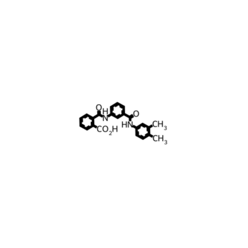 Cc1ccc(NC(=O)c2cccc(NC(=O)c3ccccc3C(=O)O)c2)cc1C